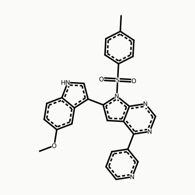 COc1ccc2[nH]cc(-c3cc4c(-c5cccnc5)ncnc4n3S(=O)(=O)c3ccc(C)cc3)c2c1